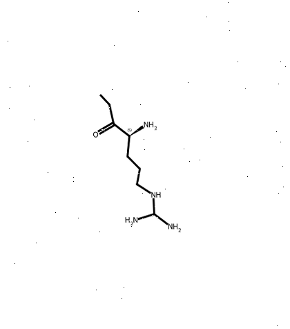 CCC(=O)[C@@H](N)CCCNC(N)N